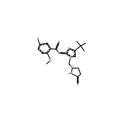 COc1ccc(Cl)cc1C(=O)/N=c1\sc(C(C)(C)C)cn1C[C@H]1CCC(=S)N1